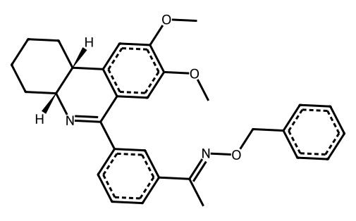 COc1cc2c(cc1OC)[C@H]1CCCC[C@H]1N=C2c1cccc(C(C)=NOCc2ccccc2)c1